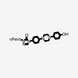 CCCCCn1ncn(-c2ccc(N3CCN(c4ccc(O)cc4)CC3)cc2)c1=O